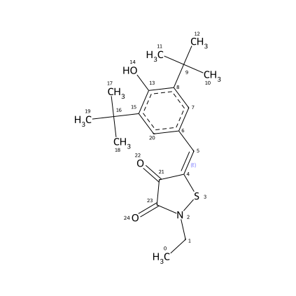 CCN1S/C(=C/c2cc(C(C)(C)C)c(O)c(C(C)(C)C)c2)C(=O)C1=O